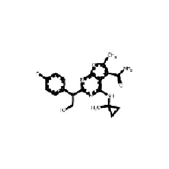 Cc1oc2nc(C(CO)c3ccc(F)cc3)nc(NC3(C)CC3)c2c1C(N)=O